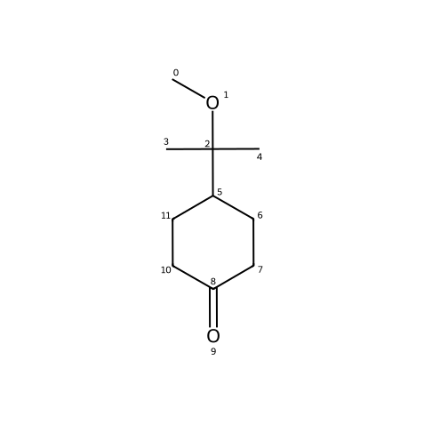 COC(C)(C)C1CCC(=O)CC1